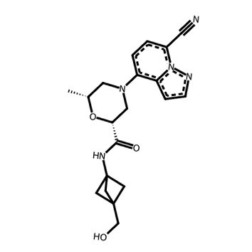 C[C@@H]1CN(c2ccc(C#N)n3nccc23)C[C@H](C(=O)NC23CC(CO)(C2)C3)O1